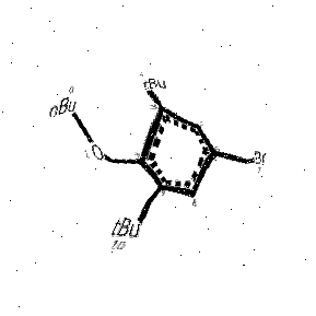 CCCCOc1c(C(C)(C)C)cc(Br)cc1C(C)(C)C